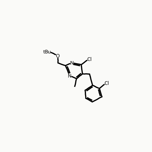 Cc1nc(COC(C)(C)C)nc(Cl)c1Cc1ccccc1Cl